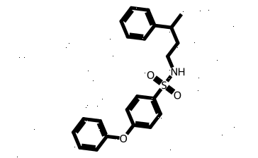 CC(CCNS(=O)(=O)c1ccc(Oc2ccccc2)cc1)c1ccccc1